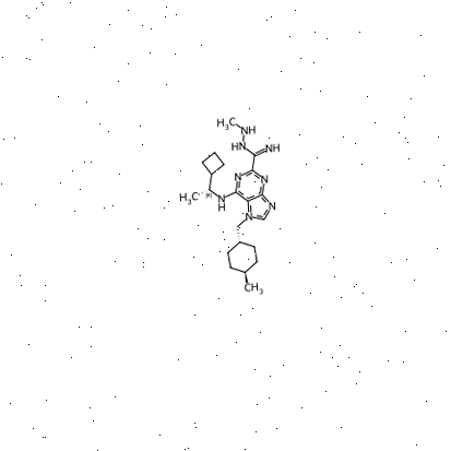 CNNC(=N)c1nc(N[C@H](C)C2CCC2)c2c(ncn2C[C@H]2CC[C@H](C)CC2)n1